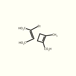 CC/C(=C/C(=O)O)C(=O)O.CC1=C(C(=O)O)CC1